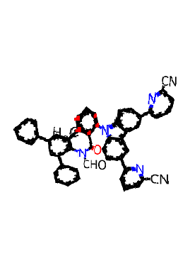 Cc1cccc(-n2c3ccc(-c4cccc(C#N)n4)cc3c3cc(-c4cccc(C#N)n4)ccc32)c1C(=O)N(C=O)c1c(-c2ccccc2)cc(-c2ccccc2)cc1-c1ccccc1